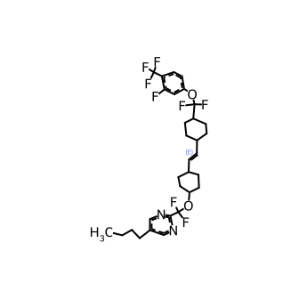 CCCCc1cnc(C(F)(F)OC2CCC(/C=C/C3CCC(C(F)(F)Oc4ccc(C(F)(F)F)c(F)c4)CC3)CC2)nc1